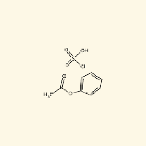 CC(=O)Oc1ccccc1.O=S(=O)(O)Cl